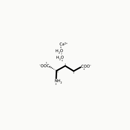 N[C@@H](CCC(=O)[O-])C(=O)[O-].O.O.[Ca+2]